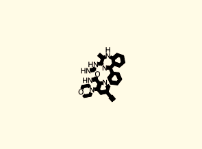 C#Cc1cnc(C(=N)OC(=N)NC2N=C(c3ccccc3)c3ccccc3NC2=C)c(N2CCOCC2)c1